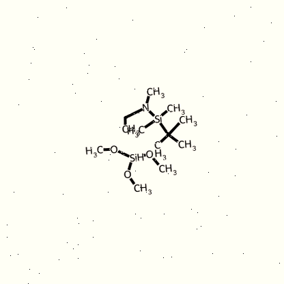 CCN(C)[Si](C)(C)C(C)(C)C.CO[SiH](OC)OC